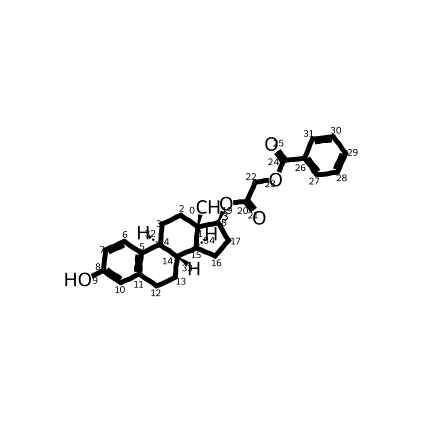 C[C@]12CC[C@@H]3c4ccc(O)cc4CC[C@H]3[C@@H]1CC[C@@H]2OC(=O)COC(=O)c1ccccc1